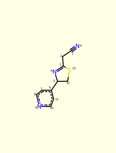 N#CCC1=NC(c2ccncc2)CS1